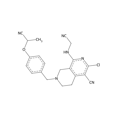 CC(C#N)Oc1ccc(CN2CCc3c(C#N)c(Cl)nc(NCC#N)c3C2)cc1